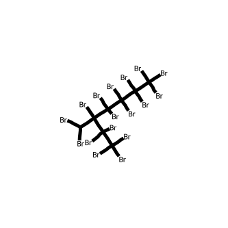 Br[C](Br)C(Br)(C(Br)(Br)C(Br)(Br)Br)C(Br)(Br)C(Br)(Br)C(Br)(Br)C(Br)(Br)Br